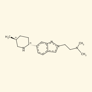 C[C@H]1CC[C@H](c2ccc3cn(CCN(C)C)nc3c2)NC1